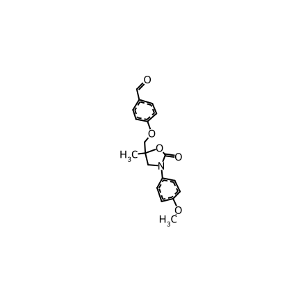 COc1ccc(N2CC(C)(COc3ccc(C=O)cc3)OC2=O)cc1